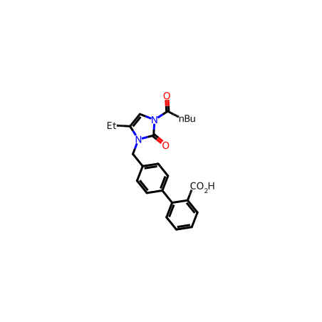 CCCCC(=O)n1cc(CC)n(Cc2ccc(-c3ccccc3C(=O)O)cc2)c1=O